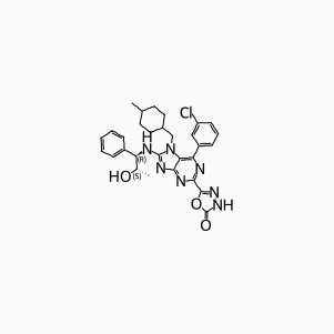 CC1CCC(Cn2c(N[C@H](c3ccccc3)[C@H](C)O)nc3nc(-c4n[nH]c(=O)o4)nc(-c4cccc(Cl)c4)c32)CC1